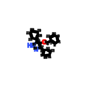 c1ccc(COc2c(-c3ccccc3)n[nH]c2-c2ccccc2)cc1